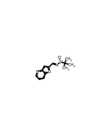 CC(C)(C)[S@+]([O-])N=Cc1cc2ncccc2o1